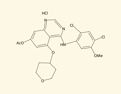 COc1cc(Nc2ncnc3cc(OC(C)=O)cc(OC4CCOCC4)c23)c(Cl)cc1Cl.Cl